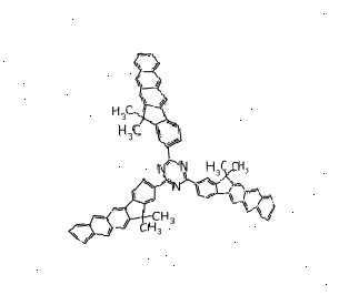 CC1(C)c2cc(-c3nc(-c4ccc5c(c4)C(C)(C)c4cc6cc7ccccc7cc6cc4-5)nc(-c4ccc5c(c4)C(C)(C)c4cc6cc7ccccc7cc6cc4-5)n3)ccc2-c2cc3cc4ccccc4cc3cc21